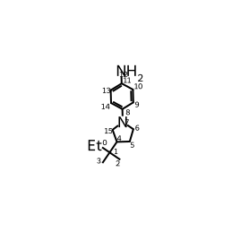 [CH2]CC(C)(C)C1CCN(c2ccc(N)cc2)C1